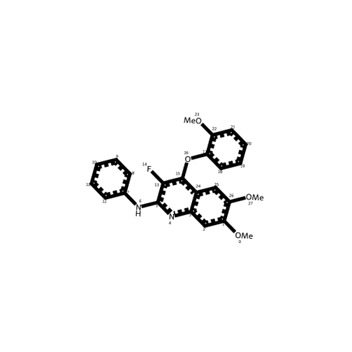 COc1cc2nc(Nc3ccccc3)c(F)c(Oc3ccccc3OC)c2cc1OC